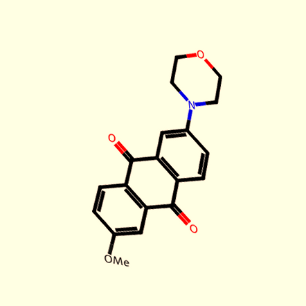 COc1ccc2c(c1)C(=O)c1ccc(N3CCOCC3)cc1C2=O